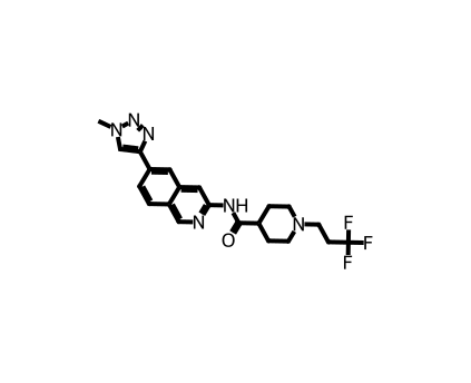 Cn1cc(-c2ccc3cnc(NC(=O)C4CCN(CCC(F)(F)F)CC4)cc3c2)nn1